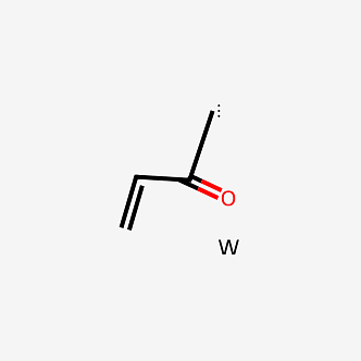 [C]C(=O)C=C.[W]